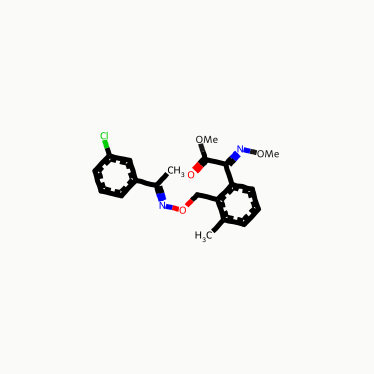 CO/N=C(/C(=O)OC)c1cccc(C)c1CO/N=C(\C)c1cccc(Cl)c1